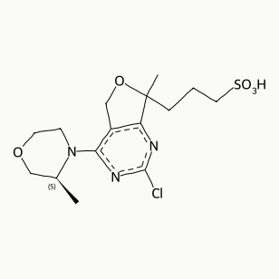 C[C@H]1COCCN1c1nc(Cl)nc2c1COC2(C)CCCS(=O)(=O)O